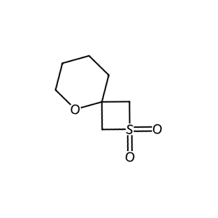 O=S1(=O)CC2(CCCCO2)C1